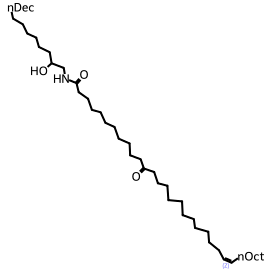 CCCCCCCC/C=C\CCCCCCCCCCCC(=O)CCCCCCCCCCC(=O)NCC(O)CCCCCCCCCCCCCCCC